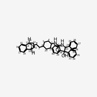 O=C(NC1CCC(CCN2[C@@H]3CC[C@H]2c2ccccc23)CC1)N[C@@H](c1ccccc1)C(O)(c1ccccc1)c1ccccc1